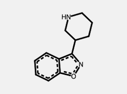 c1ccc2c(C3CCCNC3)noc2c1